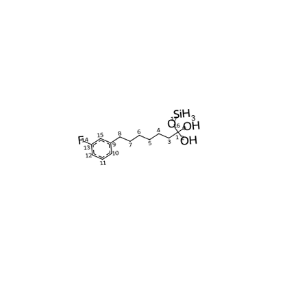 OC(O)(CCCCCCc1cccc(F)c1)O[SiH3]